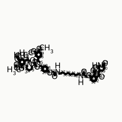 CC[C@H](C(=O)N1CCCC[C@H]1C(=O)O[C@H](CCc1ccc(OC)c(OC)c1)c1ccc(OCC(=O)NCCCCCCCCNC(=O)COc2cccc3c2C(=O)N(C2CCC(=O)NC2=O)C3=O)cc1)c1cc(OC)c(OC)c(OC)c1